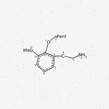 CCCCCOc1c(CCN)cccc1OC